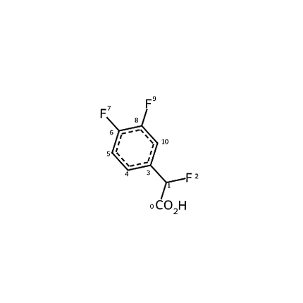 O=C(O)C(F)c1ccc(F)c(F)c1